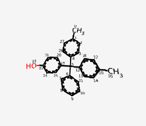 Cc1ccc(C(c2ccccc2)(c2ccc(C)cc2)c2ccc(O)cc2)cc1